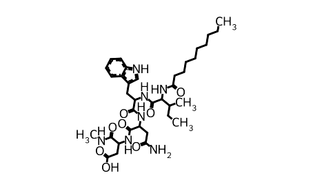 CCCCCCCCCC(=O)NC(C(=O)NC(Cc1c[nH]c2ccccc12)C(=O)NC(CC(N)=O)C(=O)NC(CC(=O)O)C(=O)NC)C(C)CC